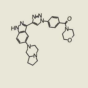 O=C(c1ccc(-n2cc(-c3n[nH]c4ccc(N5CCN6CCCC6C5)cc34)nn2)cc1)N1CCOCC1